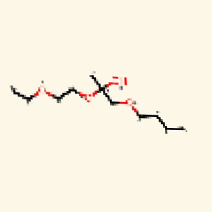 CCCCOCC(C)(O)OCCOCC